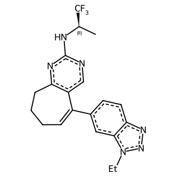 CCn1nnc2ccc(C3=CCCCc4nc(N[C@H](C)C(F)(F)F)ncc43)cc21